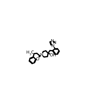 CC(CC(=O)N1CCC(O)(Cc2ccccc2-n2ccnn2)CC1)c1ccccc1